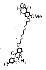 COc1cc2c(cc1OCCCCCCCCCCOc1ccc3nc(C)n(-c4ccc(Cl)cc4Cl)c(=O)c3c1)N=C[C@@H]1CCCN1C2=O